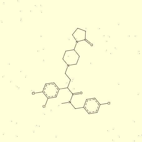 CN(Cc1ccc(Cl)cc1)C(=O)C(CCN1CCC(N2CCCC2=O)CC1)c1ccc(Cl)c(Cl)c1